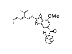 C=C(C)C(=C\C=C/C)/C=C(\C)c1nc2cc(C(=O)[C@@H]3CC4CCC3CC4)cc(OC)c2n1C